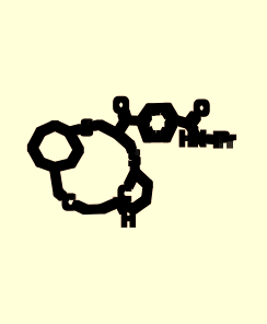 CC(C)NC(=O)c1ccc(C(=O)C2CSC3CCCCC(CCCC[C@H]4CCCC(C4)SC2)CC3)cc1